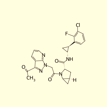 CC(=O)c1nn(CC(=O)N2C3C[C@@H]3C[C@H]2C(=O)N[C@@H]2C[C@H]2c2cccc(Cl)c2F)c2ncccc12